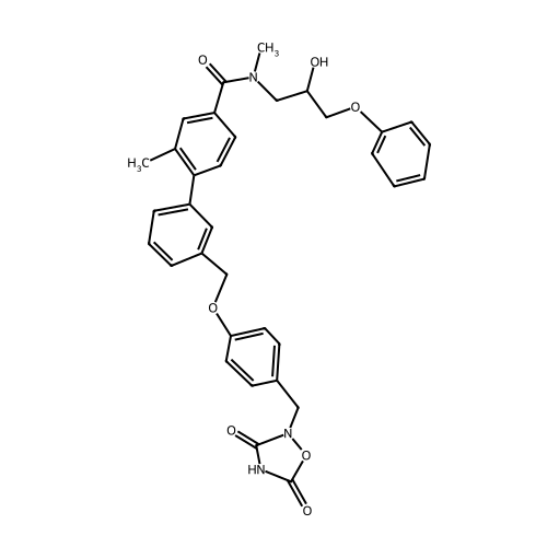 Cc1cc(C(=O)N(C)CC(O)COc2ccccc2)ccc1-c1cccc(COc2ccc(Cn3oc(=O)[nH]c3=O)cc2)c1